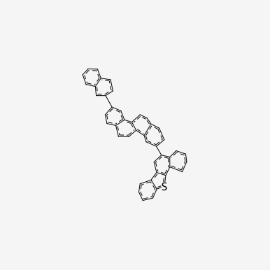 c1ccc2cc(-c3ccc4ccc5c6cc(-c7cc8c9ccccc9sc8c8ccccc78)ccc6ccc5c4c3)ccc2c1